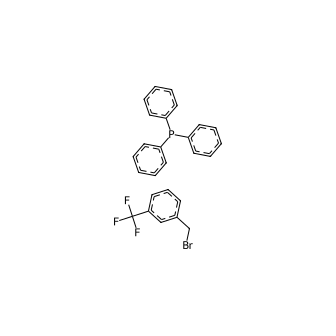 FC(F)(F)c1cccc(CBr)c1.c1ccc(P(c2ccccc2)c2ccccc2)cc1